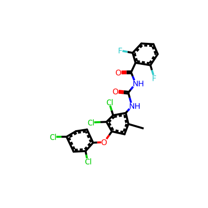 Cc1cc(Oc2ccc(Cl)cc2Cl)c(Cl)c(Cl)c1NC(=O)NC(=O)c1c(F)cccc1F